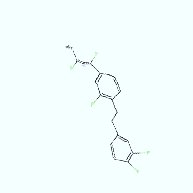 CCC/C(F)=C(\F)c1ccc(CCc2ccc(F)c(F)c2)c(F)c1